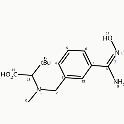 CN(Cc1cccc(/C(N)=N\O)c1)C(C(=O)O)C(C)(C)C